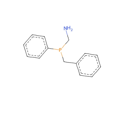 NCP(Cc1ccccc1)c1ccccc1